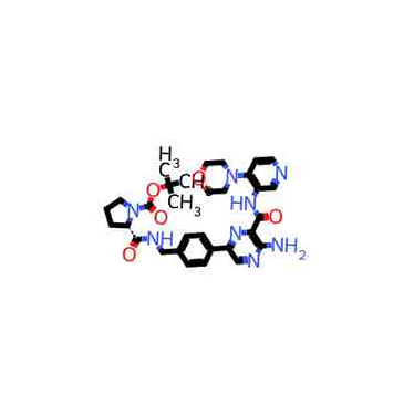 CC(C)(C)OC(=O)N1CCC[C@H]1C(=O)NCc1ccc(-c2cnc(N)c(C(=O)Nc3cnccc3N3CCOCC3)n2)cc1